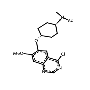 COc1cc2ncnc(Cl)c2cc1O[C@H]1CC[C@H](N(C)C(C)=O)CC1